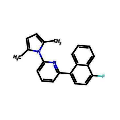 Cc1ccc(C)n1-c1cccc(-c2ccc(F)c3ccccc23)n1